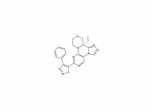 CC[C@@]12COCCN1c1nc(-c3snnc3-c3ccccc3)ncc1-n1cnnc12